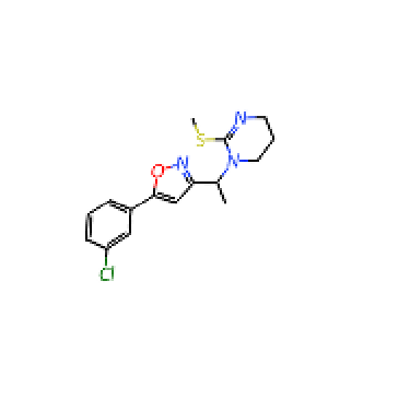 CSC1=NCCCN1C(C)c1cc(-c2cccc(Cl)c2)on1